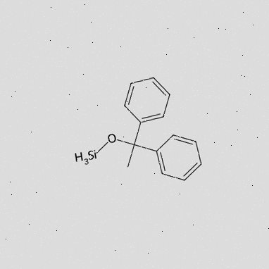 CC(O[SiH3])(c1ccccc1)c1ccccc1